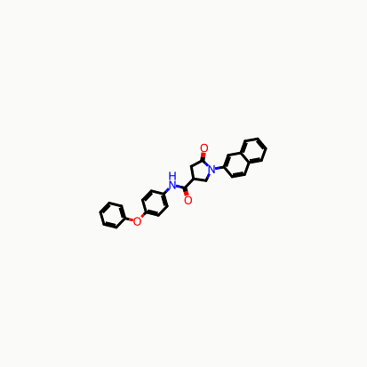 O=C(Nc1ccc(Oc2ccccc2)cc1)C1CC(=O)N(c2ccc3ccccc3c2)C1